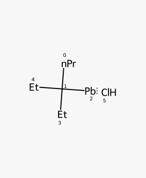 CCC[C]([Pb])(CC)CC.Cl